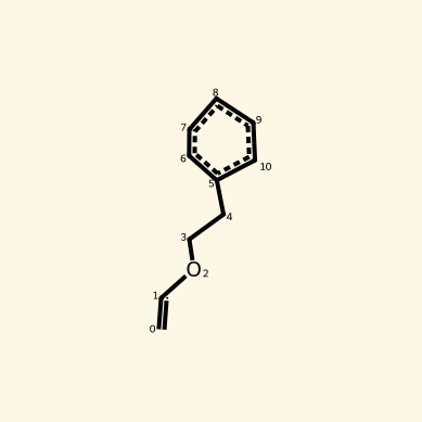 C=[C]OCCc1ccccc1